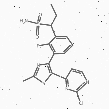 CCC(c1cccc(-c2nc(C)sc2-c2ccnc(Cl)n2)c1F)S(N)(=O)=O